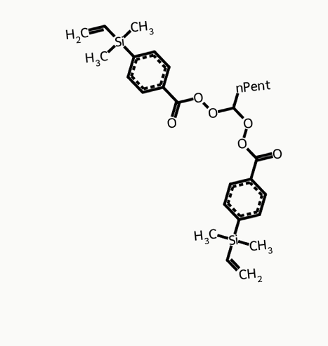 [CH2]CCCC[C](OOC(=O)c1ccc([Si](C)(C)C=C)cc1)OOC(=O)c1ccc([Si](C)(C)C=C)cc1